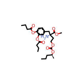 CCCC(=O)Oc1ccc(C[C@](N)(CCOC(=O)O[C@@H](C)CCC)C(=O)OC)cc1OC(=O)CCC